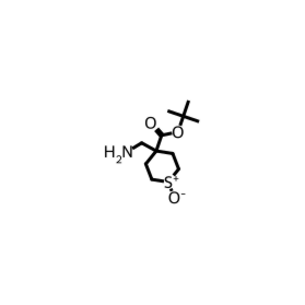 CC(C)(C)OC(=O)C1(CN)CC[S+]([O-])CC1